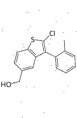 Cc1ccccc1-c1c(Cl)sc2ccc(CO)cc12